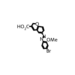 COc1cc(Br)ccc1N=Nc1ccc2c(c1)C=C(C(=O)O)CO2